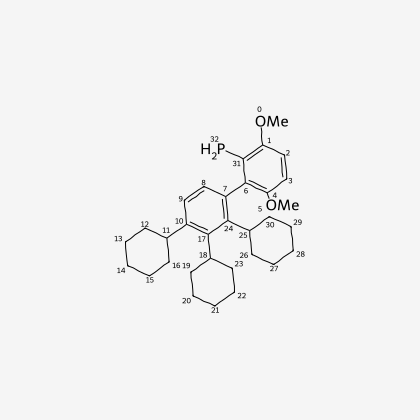 COc1ccc(OC)c(-c2ccc(C3CCCCC3)c(C3CCCCC3)c2C2CCCCC2)c1P